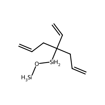 C=CCC(C=C)(CC=C)[SiH2]O[SiH3]